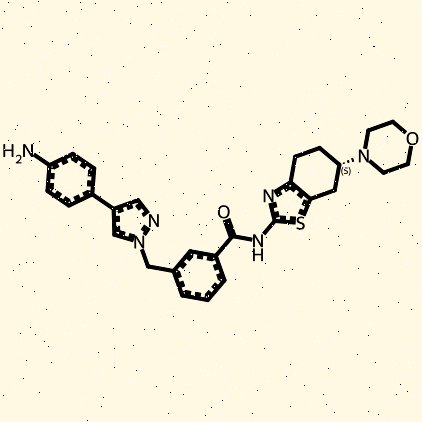 Nc1ccc(-c2cnn(Cc3cccc(C(=O)Nc4nc5c(s4)C[C@@H](N4CCOCC4)CC5)c3)c2)cc1